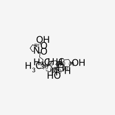 C[C@H](CCC(=O)N1CCC[C@@H]1C(=O)O)[C@H]1CC[C@H]2[C@@H]3[C@@H](O)C[C@@H]4C[C@H](O)CC[C@]4(C)[C@H]3CC[C@]12C